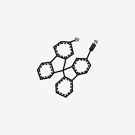 N#Cc1ccc2c(c1)C1(c3ccccc3-c3ccc(Br)cc31)c1ccccc1-2